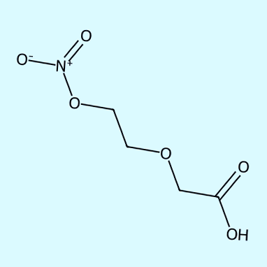 O=C(O)COCCO[N+](=O)[O-]